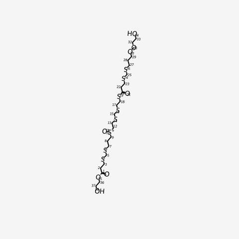 O=C(CCSCSCCC[S+]([O-])CCSCSCCSC(=O)CCSCSCCCOOCCO)OCCO